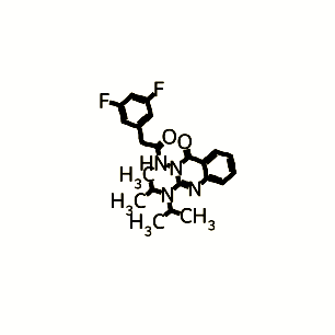 CC(C)N(c1nc2ccccc2c(=O)n1NC(=O)Cc1cc(F)cc(F)c1)C(C)C